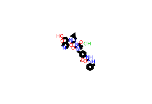 COc1cc(CN2C(=O)N([C@@H](CC3CC3)C(=O)NC(CC(=O)O)c3ccncc3)C(=O)C2(C)C)ccc1NC(=O)Nc1ccccc1C.Cl